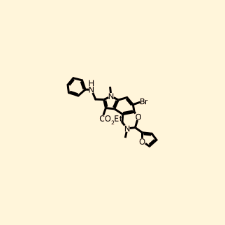 CCOC(=O)c1c(CNc2ccccc2)n(C)c2cc(Br)c3c(c12)CN(C)C(c1ccco1)O3